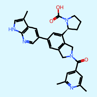 Cc1cc(C(=O)N2Cc3cc(-c4cnc5[nH]cc(C)c5c4)cc([C@@H]4CCCN4C(=O)O)c3C2)cc(C)n1